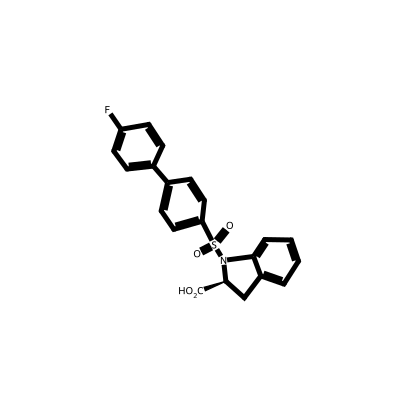 O=C(O)[C@@H]1Cc2ccccc2N1S(=O)(=O)c1ccc(-c2ccc(F)cc2)cc1